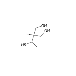 CC(S)C(C)(CO)CO